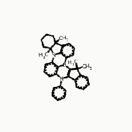 CC1(C)C2=C(c3ccccc31)N(c1ccccc1)c1cccc3c1B2c1cccc2c1N3C1(C)CCCCC21C